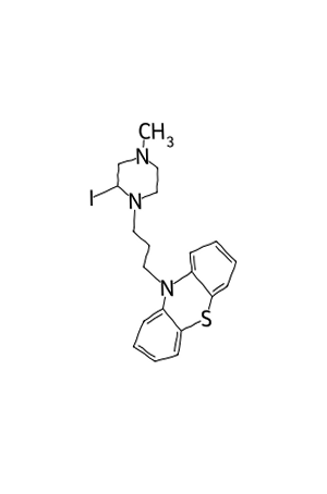 CN1CCN(CCCN2c3ccccc3Sc3ccccc32)C(I)C1